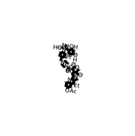 CCc1c2c(nc3ccc(OC(C)=O)cc13)-c1cc3c(c(=O)n1C2)COC(=O)C3(CC)OC(=O)N1CCN(Cc2ccc(-n3c(O)nnc3-c3cc(C(C)C)c(O)cc3O)cc2)CC1